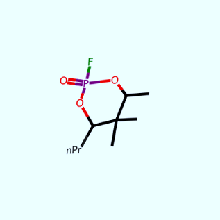 CCCC1OP(=O)(F)OC(C)C1(C)C